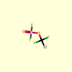 CCC(F)(F)OP(=O)(F)F